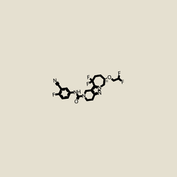 N#Cc1cc(NC(=O)N2CCc3nn4c(c3C2)C(F)(F)CC[C@H](OCC(F)F)C4)ccc1F